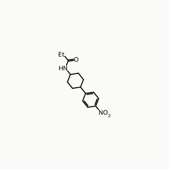 CCC(=O)NC1CCC(c2ccc([N+](=O)[O-])cc2)CC1